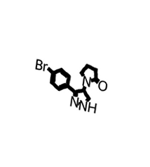 O=C1CCCN1C1CNN=C1c1ccc(Br)cc1